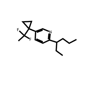 CCCC(CC)c1ccc(C2(C(C)(F)F)CC2)cn1